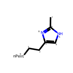 CCCCCCCc1c[nH]c(C)n1